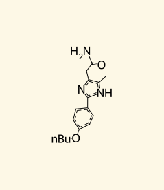 CCCCOc1ccc(-c2nc(CC(N)=O)c(C)[nH]2)cc1